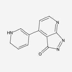 O=C1N=Nc2nccc(C3=CNCC=C3)c21